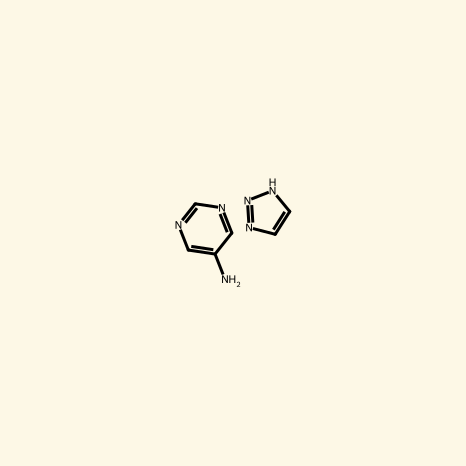 Nc1cncnc1.c1c[nH]nn1